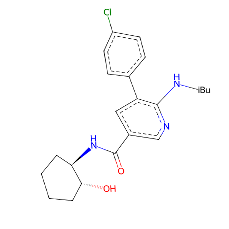 CCC(C)Nc1ncc(C(=O)N[C@@H]2CCCC[C@H]2O)cc1-c1ccc(Cl)cc1